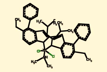 CCc1ccc2c(c1-c1ccccc1)C=C(CC(C)C)[CH]2[Zr]([Cl])([Cl])([CH]1C(CC(C)C)=Cc2c1ccc(CC)c2-c1ccccc1)[SiH](C)C